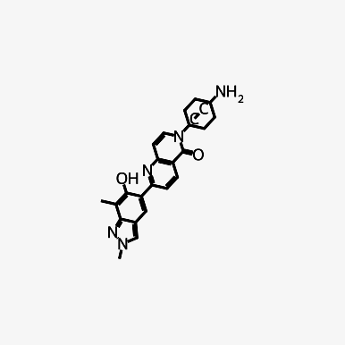 Cc1c(O)c(-c2ccc3c(=O)n(C45CCC(N)(CC4)CC5)ccc3n2)cc2cn(C)nc12